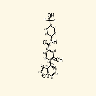 CC(C)(O)C1CCC(NC(=O)c2ccc(-c3nccc4occc34)c(O)c2)CC1